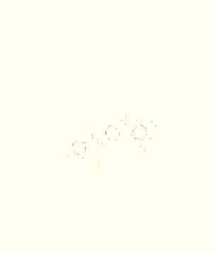 O=C(Nc1ccc(Nc2nc(N3CCCCC3)nc(N3CCCCC3)n2)cc1O)c1ccc(C(F)(F)F)nc1O